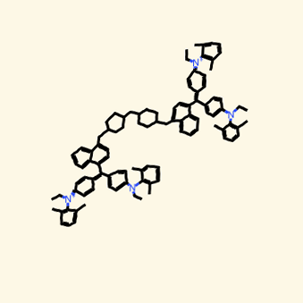 CCN(c1ccc(C(=C2C=CC(=[N+](CC)c3c(C)cccc3C)C=C2)c2ccc(CC3CCC(CC4CCC(Cc5ccc(C(=C6C=CC(=[N+](CC)c7c(C)cccc7C)C=C6)c6ccc(N(CC)c7c(C)cccc7C)cc6)c6ccccc56)CC4)CC3)c3ccccc23)cc1)c1c(C)cccc1C